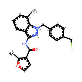 Cc1occc1C(=O)Nc1nn(Cc2ccc(CF)cc2)c2c(C(F)(F)F)cccc12